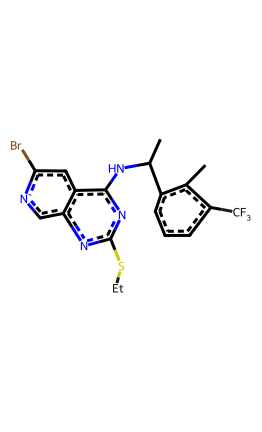 CCSc1nc(NC(C)c2cccc(C(F)(F)F)c2C)c2cc(Br)ncc2n1